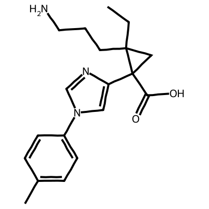 CCC1(CCCN)CC1(C(=O)O)c1cn(-c2ccc(C)cc2)cn1